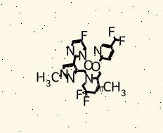 C[C@@H]1CC(F)(F)CN(C(=O)c2nn(C)cc2-c2ncc(F)cn2)C1COc1ccc(C(F)F)cn1